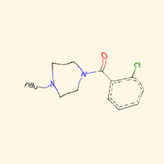 CCCCN1CCN(C(=O)c2ccccc2Cl)CC1